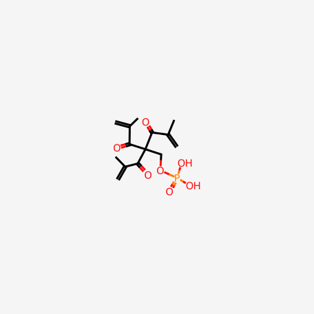 C=C(C)C(=O)C(COP(=O)(O)O)(C(=O)C(=C)C)C(=O)C(=C)C